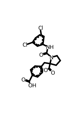 O=C(O)c1ccc(CC2(C(=O)O)CCCN2C(=O)Nc2cc(Cl)cc(Cl)c2)cc1